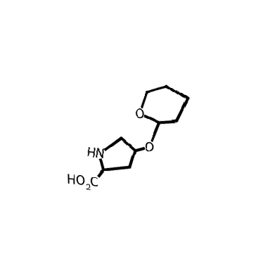 O=C(O)C1CC(OC2CCCCO2)CN1